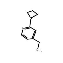 NCc1ccnc(N2CCC2)c1